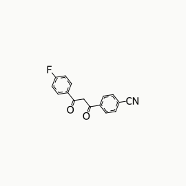 N#Cc1ccc(C(=O)CC(=O)c2ccc(F)cc2)cc1